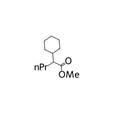 CCCC(C(=O)OC)C1CCCCC1